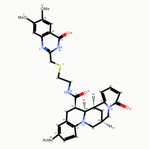 COc1cc2nc(CSCCNC(=O)[C@@H]3Cc4cc(NC(C)=O)ccc4N4C[C@H]5C[C@H](c6cccc(=O)n6C5)[C@H]34)[nH]c(=O)c2cc1OC